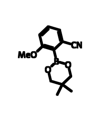 COc1cccc(C#N)c1B1OCC(C)(C)CO1